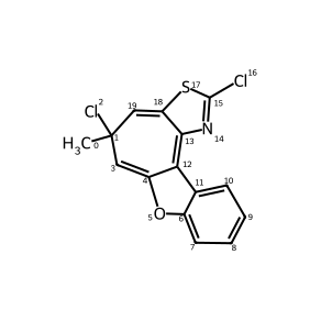 CC1(Cl)C=c2oc3ccccc3c2=c2nc(Cl)sc2=C1